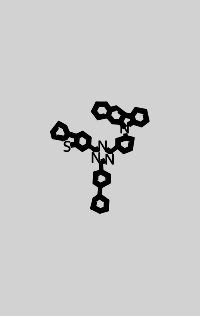 c1ccc(-c2ccc(-c3nc(-c4cccc(-n5c6ccccc6c6cc7ccccc7cc65)c4)nc(-c4ccc5c(c4)sc4ccccc45)n3)cc2)cc1